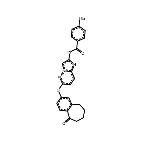 CC(C)(C)c1ccc(C(=O)Nc2cn3nc(Oc4ccc5c(c4)CCCCC5=O)ccc3n2)cc1